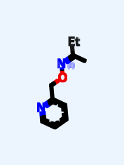 CC/C(C)=N/OCc1ccccn1